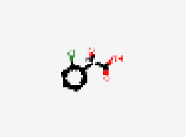 O=C(O)[13C](=O)c1ccccc1Cl